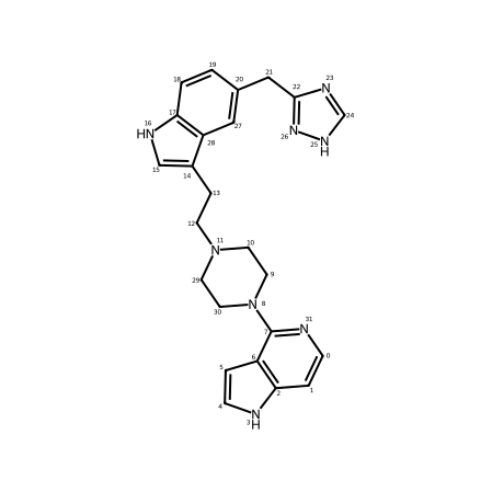 c1cc2[nH]ccc2c(N2CCN(CCc3c[nH]c4ccc(Cc5nc[nH]n5)cc34)CC2)n1